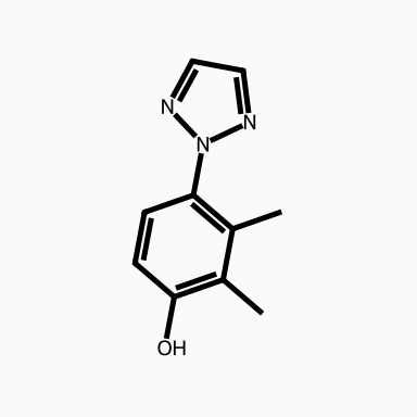 Cc1c(O)ccc(-n2nccn2)c1C